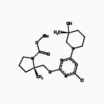 CC(C)(C)OC(=O)N1CCC[C@@]1(C)COc1nc(Cl)cc(N2CCC[C@@](C)(O)C2)n1